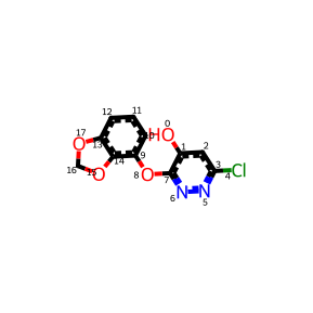 Oc1cc(Cl)nnc1Oc1cccc2c1OCO2